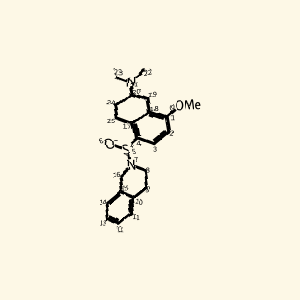 COc1ccc([S+]([O-])N2CCc3ccccc3C2)c2c1CC(N(C)C)CC2